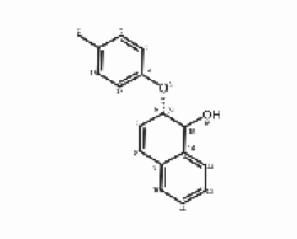 Cc1ccc(O[C@H]2C=Cc3ccccc3C2O)cc1